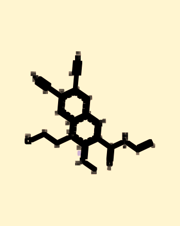 C=CNC(=O)c1nc2cc(C#N)c(C#N)cc2n(CCCl)/c1=N/C